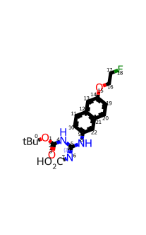 CC(C)(C)OC(=O)N/C(=N\C(=O)O)Nc1ccc2cc(OCCF)ccc2c1